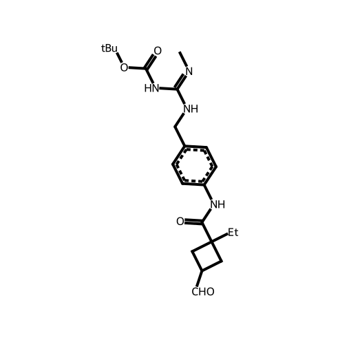 CCC1(C(=O)Nc2ccc(CN/C(=N/C)NC(=O)OC(C)(C)C)cc2)CC(C=O)C1